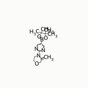 C[C@H]1COCCN1c1ncc(B2OC(C)(C)C(C)(C)O2)cn1